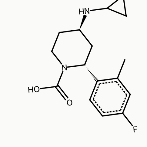 Cc1cc(F)ccc1[C@H]1C[C@H](NC2CC2)CCN1C(=O)O